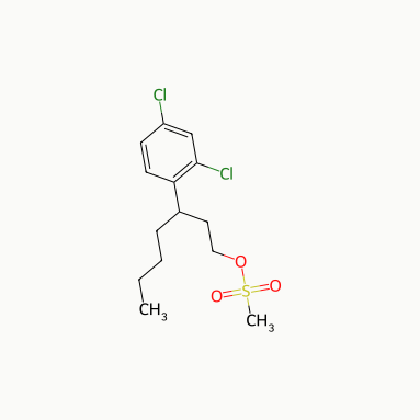 CCCCC(CCOS(C)(=O)=O)c1ccc(Cl)cc1Cl